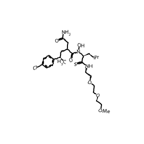 COCCOCCOCCNC(=S)[C@H](CC(C)C)N(O)C(=O)C(CC(N)=O)C[C@@H](C)c1ccc(Cl)cc1